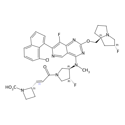 CN(c1nc(OC[C@@]23CCCN2C[C@H](F)C3)nc2c(F)c(-c3cccc4cccc(Cl)c34)ncc12)[C@@H]1CN(C(=O)/C=C/[C@@H]2CCN2C(=O)O)C[C@H]1F